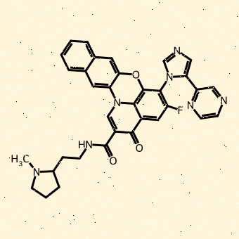 CN1CCCC1CCNC(=O)c1cn2c3c(c(-n4cncc4-c4cnccn4)c(F)cc3c1=O)Oc1cc3ccccc3cc1-2